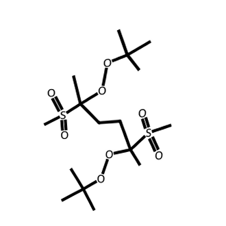 CC(C)(C)OOC(C)(CCC(C)(OOC(C)(C)C)S(C)(=O)=O)S(C)(=O)=O